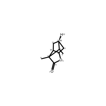 CC1[C@H]2CC3OC(=O)C1(C)C3C2